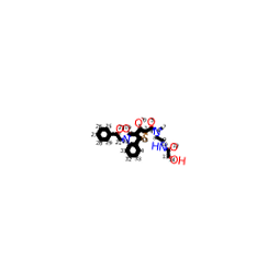 COc1c(C(=O)N(C)CCNC(=O)CO)sc2c1c(=O)n(CC(=O)c1ccccc1)c1ccccc21